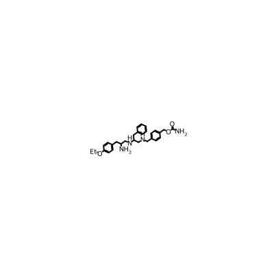 CCOc1ccc(CC(N)CNC(CNCc2ccc(COC(N)=O)cc2)Cc2ccccc2)cc1